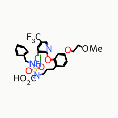 COCCOc1ccc(CCCN(C(=O)O)S(=O)(=O)NCc2ccccc2)c(Oc2ncc(C(F)(F)F)cc2Cl)c1